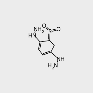 NNC1=CC=C(NN)C(=S(=O)=O)C1